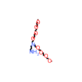 COCCOCCOCCOCCN(CCCN)CCOCCOCCOCCOC